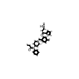 CCC(=O)N(c1ccccc1)C1CCN(Cc2ccc(F)cc2O[C@@H](CCNC)c2cccs2)CC1